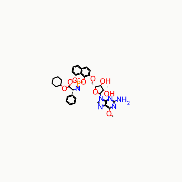 COc1nc(N)nc2c1ncn2C1O[C@H](COc2ccc3ccccc3c2O/[P+]([O-])=N/[C@@H](C(=O)OC2CCCCC2)c2ccccc2)[C@@H](O)[C@@]1(C)O